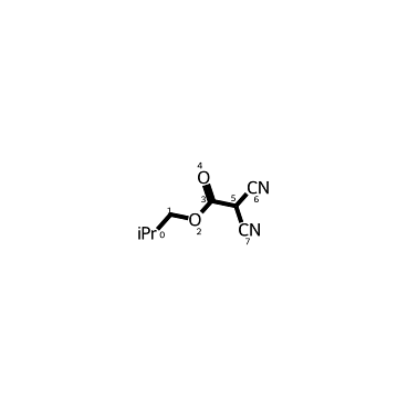 CC(C)COC(=O)C(C#N)C#N